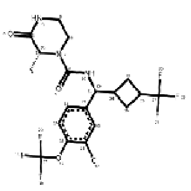 C[C@@H]1C(=O)NCCN1C(=O)N[C@H](c1ccc(OC(F)(F)F)c(Cl)c1)C1CC(C(F)(F)F)C1